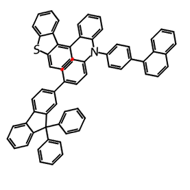 c1ccc(C2(c3ccccc3)c3ccccc3-c3ccc(-c4ccc(N(c5ccc(-c6cccc7ccccc67)cc5)c5ccccc5-c5cccc6sc7ccccc7c56)cc4)cc32)cc1